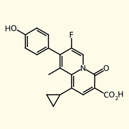 Cc1c(-c2ccc(O)cc2)c(F)cn2c(=O)c(C(=O)O)cc(C3CC3)c12